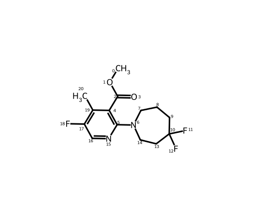 COC(=O)c1c(N2CCCC(F)(F)CC2)ncc(F)c1C